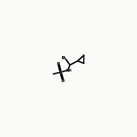 CCC(NS(C)(=O)=O)C1CC1